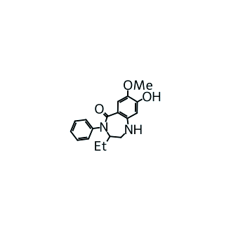 CCC1CNc2cc(O)c(OC)cc2C(=O)N1c1ccccc1